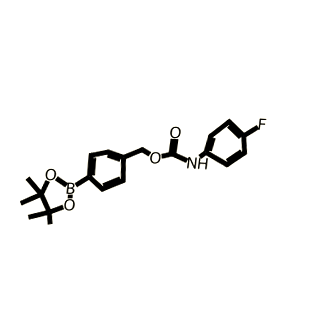 CC1(C)OB(c2ccc(COC(=O)Nc3ccc(F)cc3)cc2)OC1(C)C